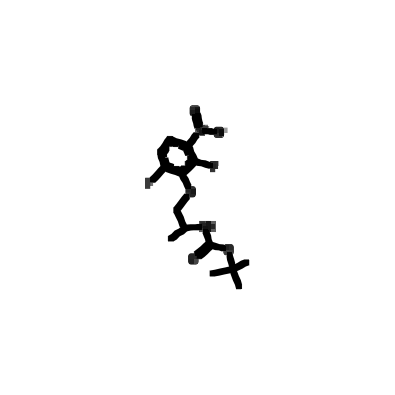 CC(COc1c(F)ccc([N+](=O)[O-])c1F)NC(=O)OC(C)(C)C